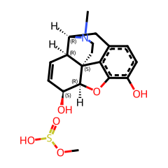 CN1CC[C@]23c4c5ccc(O)c4O[C@H]2[C@@H](O)C=C[C@H]3[C@H]1C5.COS(=O)O